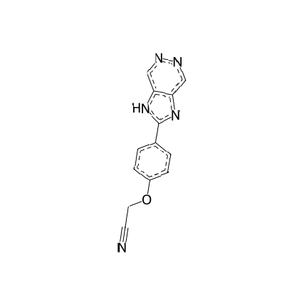 N#CCOc1ccc(-c2nc3cnncc3[nH]2)cc1